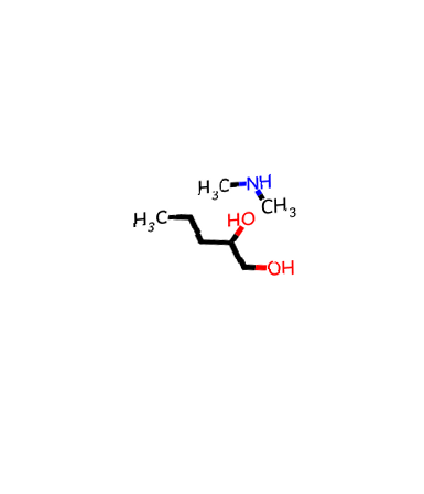 CCCC(O)CO.CNC